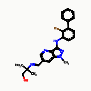 Cn1nc(Nc2cccc(-c3ccccc3)c2Br)c2ncc(C=NC(C)(CO)C(=O)O)cc21